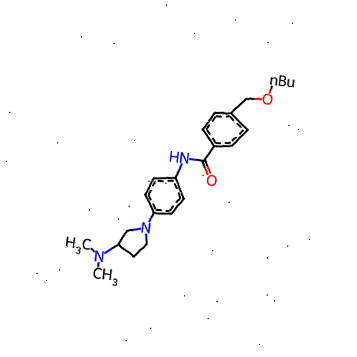 CCCCOCc1ccc(C(=O)Nc2ccc(N3CCC(N(C)C)C3)cc2)cc1